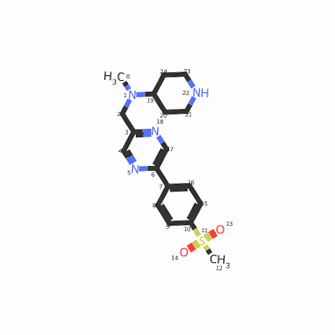 CN(Cc1cnc(-c2ccc(S(C)(=O)=O)cc2)cn1)C1CCNCC1